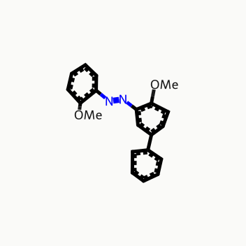 COc1ccccc1N=Nc1cc(-c2ccccc2)ccc1OC